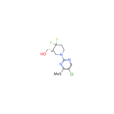 CSc1nc(N2CCC(F)(F)[C@@H](CO)C2)ncc1Cl